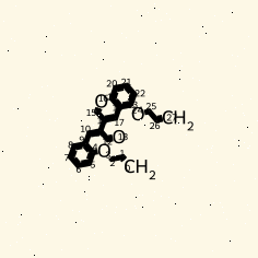 C=CCOc1ccccc1C=C(C=O)C(C=O)=Cc1ccccc1OCC=C